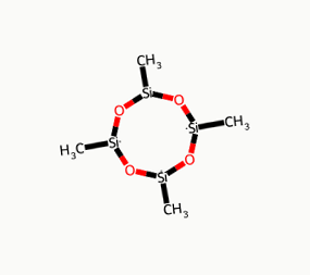 C[Si]1O[Si](C)O[Si](C)O[Si](C)O1